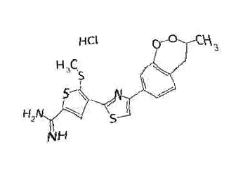 CSc1sc(C(=N)N)cc1-c1nc(-c2ccc3c(c2)OOC(C)C3)cs1.Cl